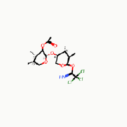 CC(=O)OC1[C@H](O[C@@H]2COC(OC(=N)C(Cl)(Cl)Cl)C(C)[C@H]2C)OC[C@@H](C)[C@@H]1C